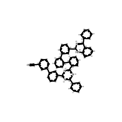 N#Cc1cccc(-c2cccc(-c3nc(-c4ccccc4)nc(-c4ccccc4-c4ccccc4-c4cccc(C5N=C(c6ccccc6)c6ccccc6N5)c4)n3)c2)c1